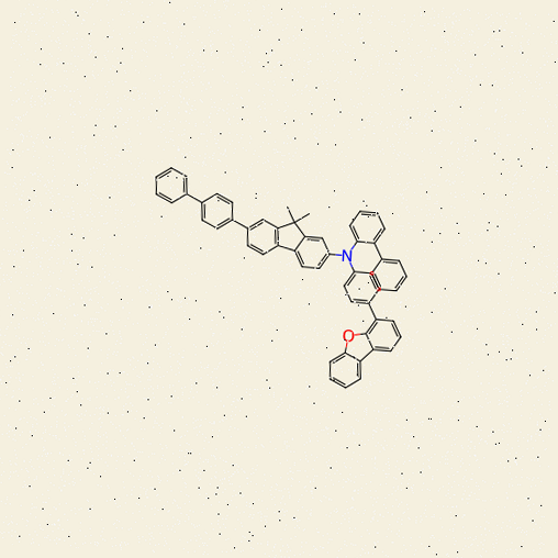 CC1(C)c2cc(-c3ccc(-c4ccccc4)cc3)ccc2-c2ccc(N(c3ccc(-c4cccc5c4oc4ccccc45)cc3)c3ccccc3-c3ccccc3)cc21